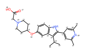 Cc1cc(-c2[nH]c3ccc(OC4CCN(CC(=O)O)CC4)cc3c2C(C)C)cc(C)n1